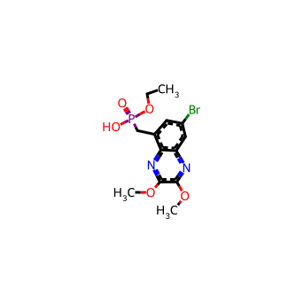 CCOP(=O)(O)Cc1cc(Br)cc2nc(OC)c(OC)nc12